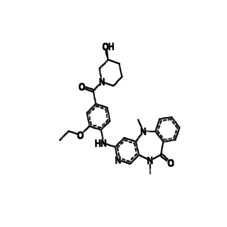 CCOc1cc(C(=O)N2CCC[C@H](O)C2)ccc1Nc1cc2c(cn1)N(C)C(=O)c1ccccc1N2C